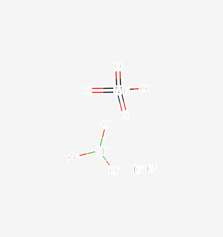 [K+].[K+].[O-][Cl+2]([O-])[O-].[O]=[Mn](=[O])(=[O])[O-]